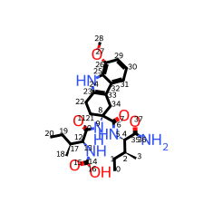 CC[C@H](C)[C@H](NC(=O)[C@@]1(NC(=O)[C@@H](NC(=O)O)[C@@H](C)CC)CCc2[nH]c3c(OC)cccc3c2C1)C(N)=O